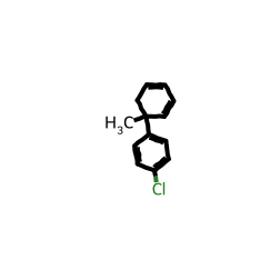 CC1(c2ccc(Cl)cc2)C=CC=CC1